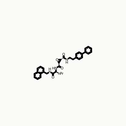 CCC[C@H](NC(=O)[C@H]1O[C@@H]1C(=O)NCCc1ccc(-c2ccccc2)cc1)C(=O)NCc1cccc2ccccc12